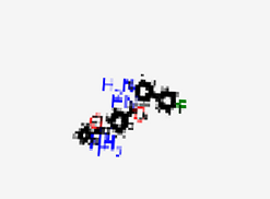 Nc1ccc(-c2ccc(F)cc2)cc1NC(=O)c1ccc(NC(=O)C2(N)CCC2)cc1